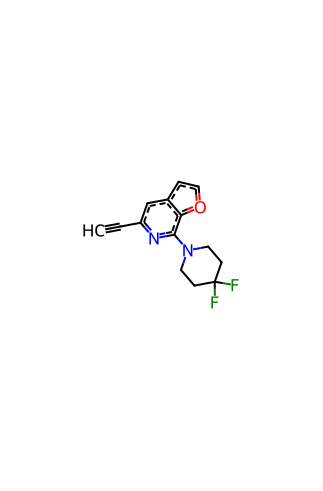 C#Cc1cc2ccoc2c(N2CCC(F)(F)CC2)n1